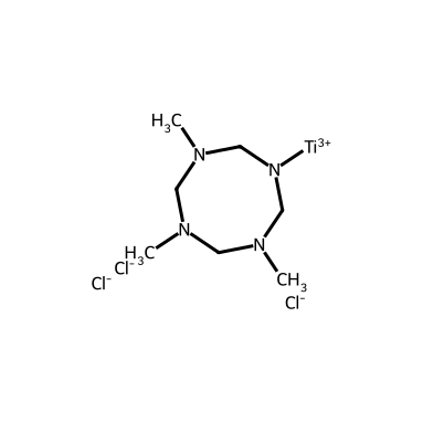 CN1CN(C)C[N]([Ti+3])CN(C)C1.[Cl-].[Cl-].[Cl-]